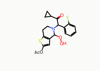 CC(=O)Oc1cc2c(s1)CCN(C(C(=O)C1CC1)c1ccccc1F)C2OO